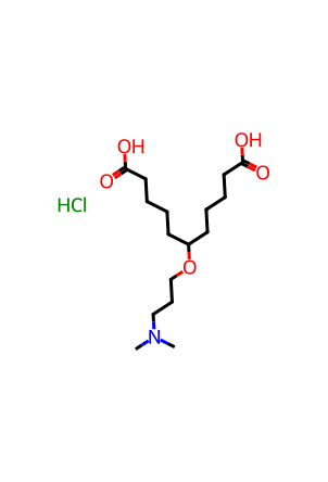 CN(C)CCCOC(CCCCC(=O)O)CCCCC(=O)O.Cl